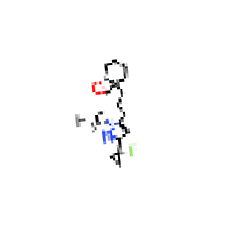 Cn1nc(C2(F)CC2)cc1CCCC1(C=O)CCCCC1